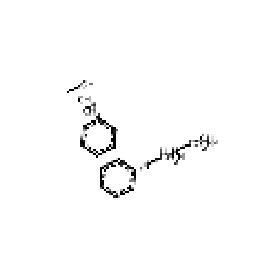 C.C.C.CO.NC(=O)O.NC(=O)O.c1ccccc1.c1ccccc1